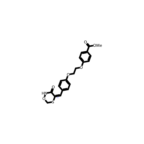 COC(=O)c1ccc(OCCOc2ccc(/C=C3/SCONC3=O)cc2)cc1